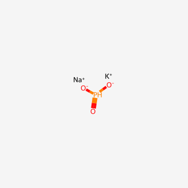 O=[PH]([O-])[O-].[K+].[Na+]